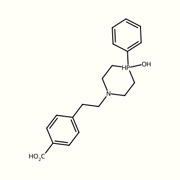 O=C(O)c1ccc(CCN2CC[PH](O)(c3ccccc3)CC2)cc1